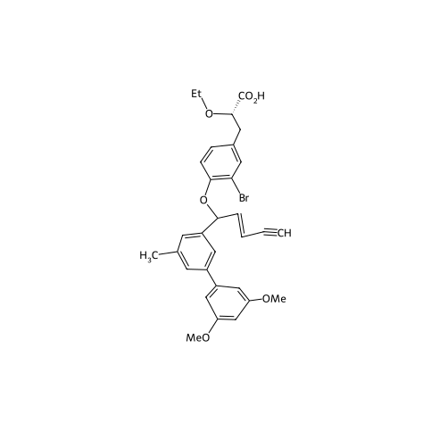 C#C/C=C/C(Oc1ccc(C[C@H](OCC)C(=O)O)cc1Br)c1cc(C)cc(-c2cc(OC)cc(OC)c2)c1